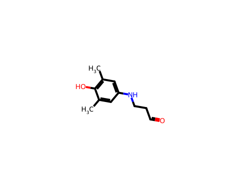 Cc1cc(NCCC=O)cc(C)c1O